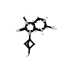 Cn1c(=O)n(C23CC(F)(C2)C3)c2nc(Cl)ncc21